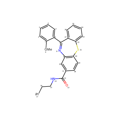 COc1ccccc1C1=Nc2cc(C(=O)NCCC(C)C)ccc2Sc2ccccc21